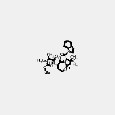 C[C@@H](C(=O)N[C@H]1CCO[C@H]2CC(C)(C)[C@@H](C(=O)n3ccc4ccccc43)N2C1=O)N(C)C(=O)OC(C)(C)C